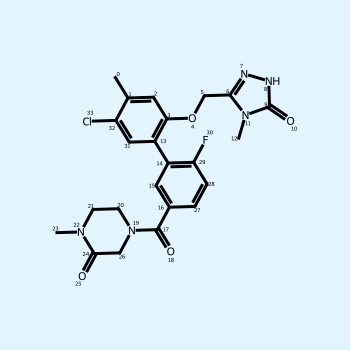 Cc1cc(OCc2n[nH]c(=O)n2C)c(-c2cc(C(=O)N3CCN(C)C(=O)C3)ccc2F)cc1Cl